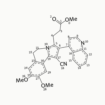 COC(=O)CCc1c(-c2ccnc3ccccc23)c(C#N)c2n1CCc1cc(OC)c(OC)cc1-2